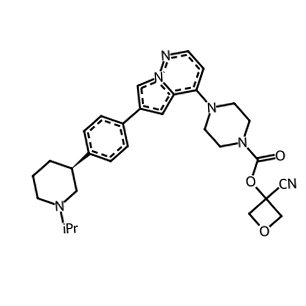 CC(C)N1CCC[C@@H](c2ccc(-c3cc4c(N5CCN(C(=O)OC6(C#N)COC6)CC5)ccnn4c3)cc2)C1